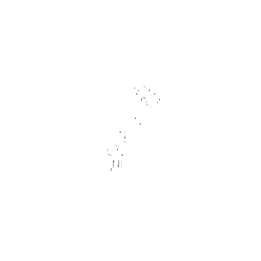 COc1ccc2ncc(F)c(CCN3CCC(N(C)C(=O)c4ccc5c(n4)NC(=O)CS5)CC3)c2n1